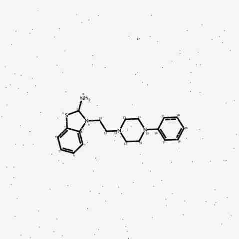 NC1Sc2ccccc2N1CCN1CCN(c2ccccc2)CC1